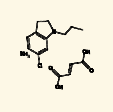 CCCN1CCc2ccc(Cl)cc21.N.O=C(O)C=CC(=O)O